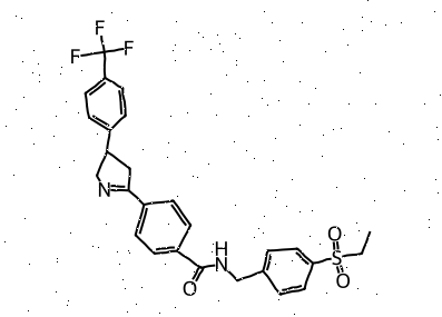 CCS(=O)(=O)c1ccc(CNC(=O)c2ccc(C3=NCC(c4ccc(C(F)(F)F)cc4)C3)cc2)cc1